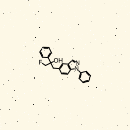 OC(CF)(Cc1ccc2c(cnn2-c2ccccc2)c1)c1ccccc1